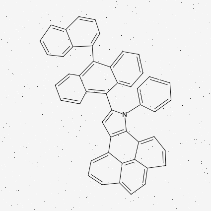 c1ccc(-n2c(-c3c4ccccc4c(-c4cccc5ccccc45)c4ccccc34)cc3c4cccc5ccc6cccc(c6c54)c32)cc1